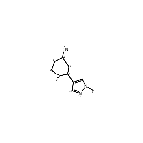 Cn1cc(C2CC(C#N)CCO2)cn1